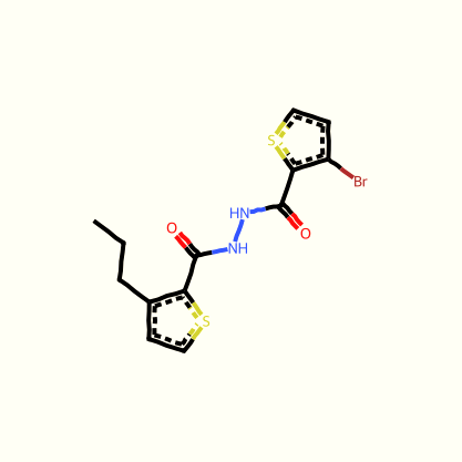 CCCc1ccsc1C(=O)NNC(=O)c1sccc1Br